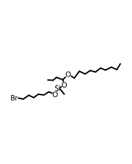 CCCCCCCCCCOC(CCC)O[Si](C)(C)OCCCCCCBr